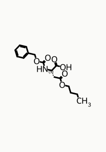 CCCCOC(=O)C[C@H](NC(=O)OCc1ccccc1)C(=O)O